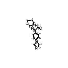 O=C1NC2(CCCOC2)N=C1c1ccc(-n2ccnc2)cc1